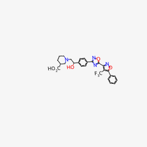 O=C(O)[C@H]1CCCN(CC(O)c2ccc(-c3noc(-c4noc(-c5ccccc5)c4C(F)(F)F)n3)cc2)C1